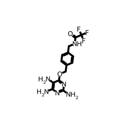 Nc1nc(N)c(N)c(OCc2ccc(CNC(=O)C(F)(F)F)cc2)n1